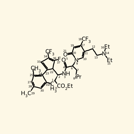 CCOC(=O)C[C@H](NC(=O)C(CC(C)C)n1cc(CCN(CC)CC)c(C(F)(F)F)cc1=O)C1C(c2c(C)cc(C)cc2C)=CC(C(F)(F)F)=C1F